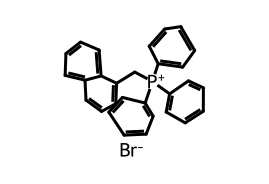 [Br-].c1ccc([P+](Cc2cccc3ccccc23)(c2ccccc2)c2ccccc2)cc1